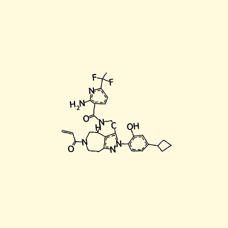 C=CC(=O)N1CCc2nn(-c3ccc(C4CCC4)cc3O)c3c2[C@H](C1)N(C(=O)c1ccc(C(C)(F)F)nc1N)CC3